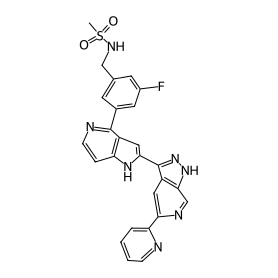 CS(=O)(=O)NCc1cc(F)cc(-c2nccc3[nH]c(-c4n[nH]c5cnc(-c6ccccn6)cc45)cc23)c1